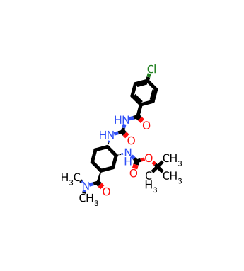 CN(C)C(=O)[C@H]1CC[C@H](NC(=O)NC(=O)c2ccc(Cl)cc2)[C@H](NC(=O)OC(C)(C)C)C1